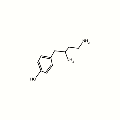 NCCC(N)Cc1ccc(O)cc1